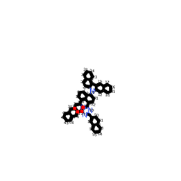 c1ccc(-c2cccc3c(-n4c5cc6ccccc6cc5c5c6ccccc6ccc54)ccc(-c4nc(-c5ccc6ccccc6c5)nc(-c5ccc6ccccc6c5)n4)c23)cc1